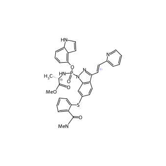 CNC(=O)c1ccccc1Sc1ccc2c(/C=C/c3ccccn3)nn(P(=O)(N[C@@H](C)C(=O)OC)Oc3cccc4[nH]ccc34)c2c1